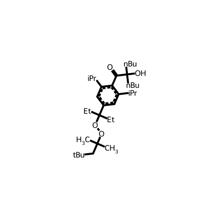 CCCCC(O)(CCCC)C(=O)c1c(C(C)C)cc(C(CC)(CC)OOC(C)(C)CC(C)(C)C)cc1C(C)C